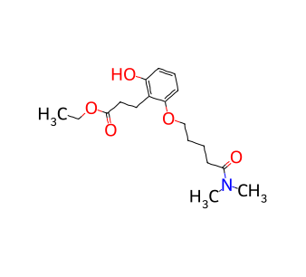 CCOC(=O)CCc1c(O)cccc1OCCCCC(=O)N(C)C